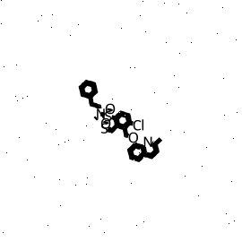 Cc1ccc2cccc(OCc3c(Cl)ccc(S(=O)(=O)N(C)CCc4ccccc4)c3C=S)c2n1